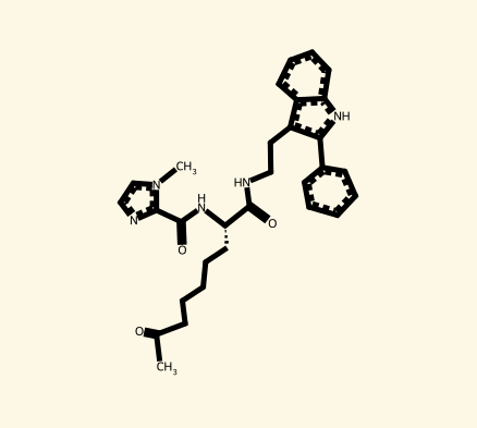 CC(=O)CCCCC[C@H](NC(=O)c1nccn1C)C(=O)NCCc1c(-c2ccccc2)[nH]c2ccccc12